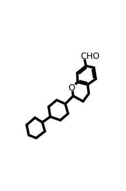 O=Cc1ccc2c(c1)OC(C1CCC(C3CCCCC3)CC1)CC2